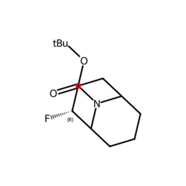 CC(C)(C)OC(=O)N1C2CCCC1[C@H](F)CC2